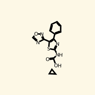 C1CC1.O=C(O)Nc1nc(-c2ccccc2)c(-c2ncon2)s1